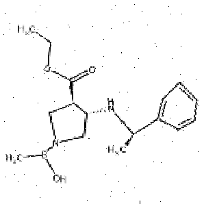 CCOC(=O)[C@@H]1CN(B(C)O)C[C@H]1N[C@H](C)c1ccccc1